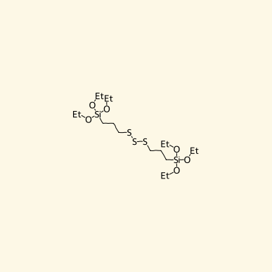 CCO[Si](CCCSSSCCC[Si](OCC)(OCC)OCC)(OCC)OCC